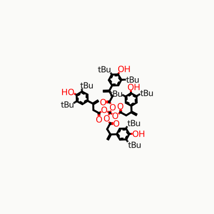 C=C(CC(=O)OC(OC(=O)CC(=C)c1cc(C(C)(C)C)c(O)c(C(C)(C)C)c1)(OC(=O)CC(=C)c1cc(C(C)(C)C)c(O)c(C(C)(C)C)c1)OC(=O)CC(=C)c1cc(C(C)(C)C)c(O)c(C(C)(C)C)c1)c1cc(C(C)(C)C)c(O)c(C(C)(C)C)c1